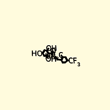 O=C(NCCc1ccc(C(F)(F)F)cc1C(F)(F)F)c1c(O)cc(O)cc1O